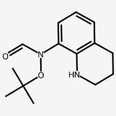 CC(C)(C)ON(C=O)c1cccc2c1NCCC2